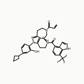 C=CC(=O)N1CCc2nn(-c3ccc(C4CCC4)cc3O)c3c2[C@H](C1)N(C(=O)c1ccc(C(F)(F)F)c2[nH]ncc12)CC3